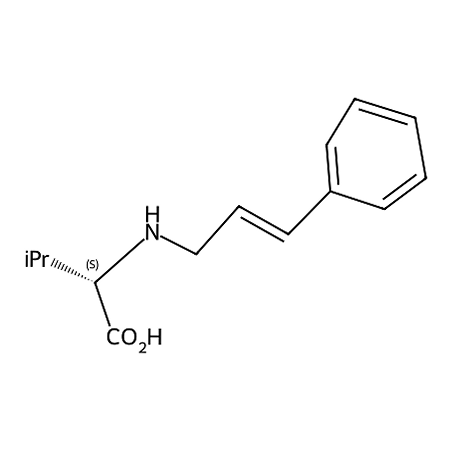 CC(C)[C@H](NCC=Cc1ccccc1)C(=O)O